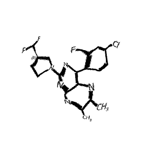 Cc1nc2nc(N3CC[C@@H](C(F)F)C3)nc(-c3ccc(Cl)cc3F)c2nc1C